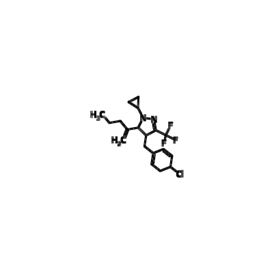 C=C(CCC)C1C(CC2=CCC(Cl)C=C2)C(C(F)(F)F)=NN1C1CC1